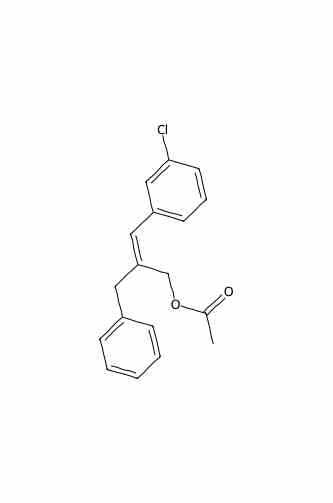 CC(=O)OC/C(=C\c1cccc(Cl)c1)Cc1ccccc1